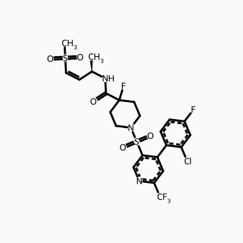 C[C@H](/C=C\S(C)(=O)=O)NC(=O)C1(F)CCN(S(=O)(=O)c2cnc(C(F)(F)F)cc2-c2ccc(F)cc2Cl)CC1